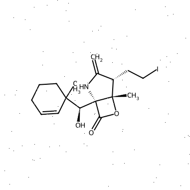 C=C1N[C@@]2([C@@H](O)C3(C)C=CCCC3)C(=O)O[C@@]2(C)[C@H]1CCI